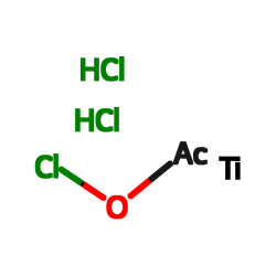 CC(=O)OCl.Cl.Cl.[Ti]